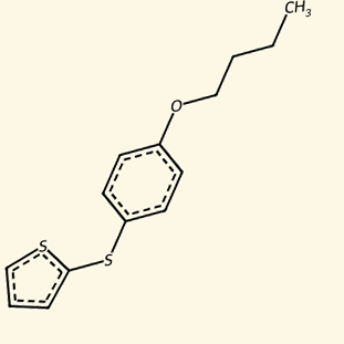 CCCCOc1ccc(Sc2cccs2)cc1